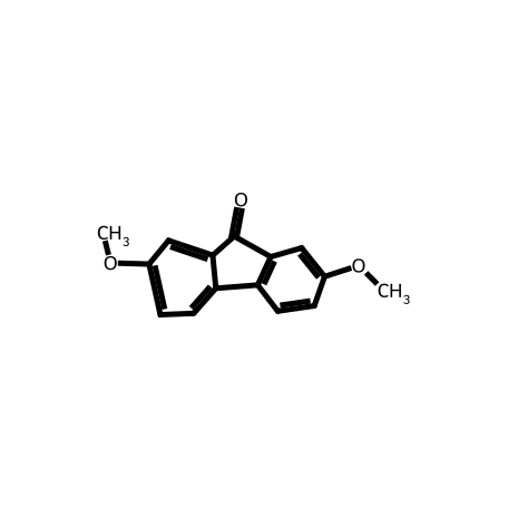 COc1ccc2c(c1)C(=O)c1cc(OC)ccc1-2